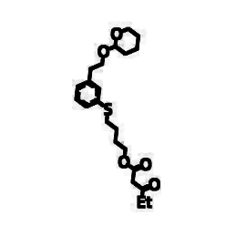 CCC(=O)CC(=O)OCCCCSc1cccc(CCOC2CCCCO2)c1